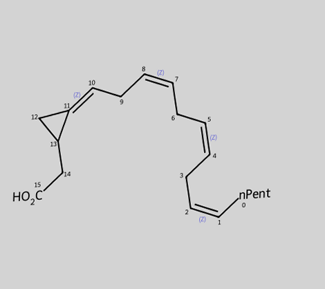 CCCCC/C=C\C/C=C\C/C=C\C/C=C1/CC1CC(=O)O